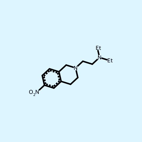 CCN(CC)CCN1CCc2cc([N+](=O)[O-])ccc2C1